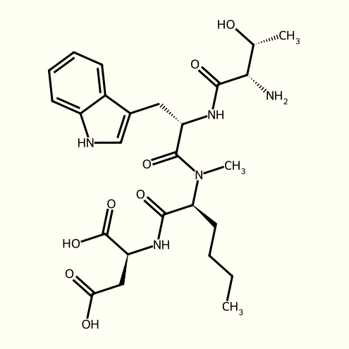 CCCC[C@@H](C(=O)N[C@@H](CC(=O)O)C(=O)O)N(C)C(=O)[C@H](Cc1c[nH]c2ccccc12)NC(=O)[C@@H](N)[C@@H](C)O